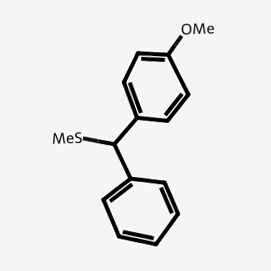 COc1ccc(C(SC)c2ccccc2)cc1